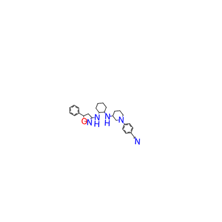 N#Cc1ccc(N2CCC[C@H](N[C@@H]3CCCC[C@H]3NC3=NOC(c4ccccc4)C3)C2)cc1